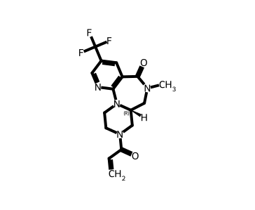 C=CC(=O)N1CCN2c3ncc(C(F)(F)F)cc3C(=O)N(C)C[C@@H]2C1